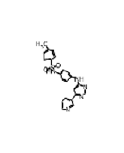 Cc1ccc(S(=O)(=O)Nc2ccc(Nc3cc(-c4cccnc4)ncn3)cc2)cc1